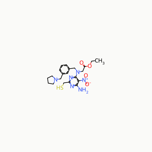 CCOC(=O)CN(Cc1cccc(CN2CCCC2)c1)c1nc(CS)nc(N)c1[N+](=O)[O-]